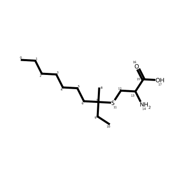 CCCCCCCC(C)(CC)SCC(N)C(=O)O